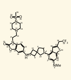 CNc1nc(N2CCC3(CC(Nc4ccc5c(c4)oc(=O)n5CCN4CCN(S(C)(=O)=O)CC4)C3)C2)c2cc(CC(F)(F)F)sc2n1